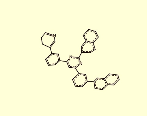 C1=NC=C(c2cccc(-c3cc(-c4cccc(-c5ccc6ccccc6c5)c4)nc(-c4ccc5ccccc5c4)n3)c2)CC1